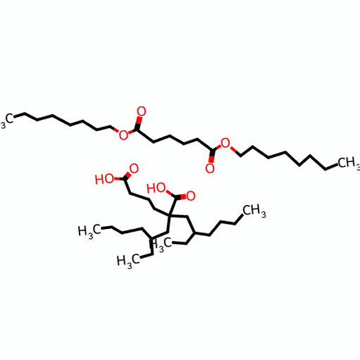 CCCCC(CC)CC(CCCC(=O)O)(CC(CC)CCCC)C(=O)O.CCCCCCCCOC(=O)CCCCC(=O)OCCCCCCCC